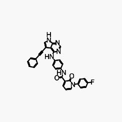 O=C(Nc1ccc(Nc2ncnc3[nH]cc(C#Cc4ccccc4)c23)cc1)c1cccn(-c2ccc(F)cc2)c1=O